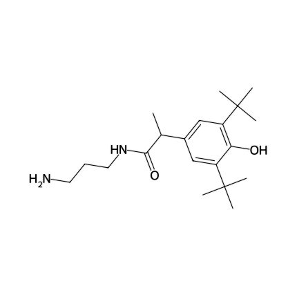 CC(C(=O)NCCCN)c1cc(C(C)(C)C)c(O)c(C(C)(C)C)c1